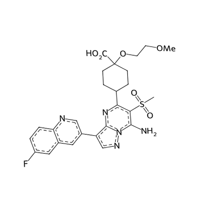 COCCOC1(C(=O)O)CCC(c2nc3c(-c4cnc5ccc(F)cc5c4)cnn3c(N)c2S(C)(=O)=O)CC1